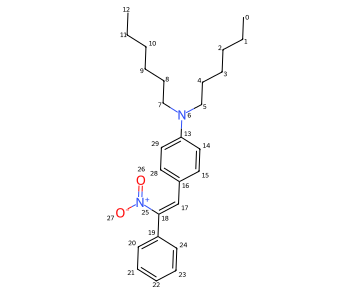 CCCCCCN(CCCCCC)c1ccc(C=C(c2ccccc2)[N+](=O)[O-])cc1